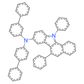 c1ccc(-c2ccc(N(c3cccc(-c4ccccc4)c3)c3ccc4c(c3)c3c(-c5ccccc5)cc5ccccc5c3n4-c3ccccc3)cc2)cc1